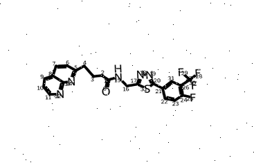 O=C(CCCc1ccc2cccnc2n1)NCc1nnc(-c2ccc(F)c(C(F)(F)F)c2)s1